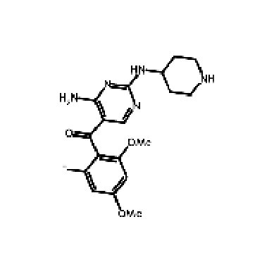 COc1cc(F)c(C(=O)c2cnc(NC3CCNCC3)nc2N)c(OC)c1